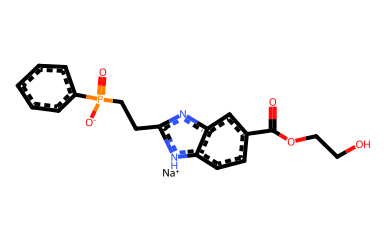 O=C(OCCO)c1ccc2[nH]c(CCP(=O)([O-])c3ccccc3)nc2c1.[Na+]